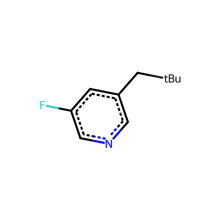 CC(C)(C)Cc1cncc(F)c1